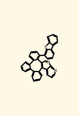 c1ccc2c(c1)-c1ccccc1-c1c(cnc3ncccc13)-c1c-2cccc1-c1cccc2c1sc1ccccc12